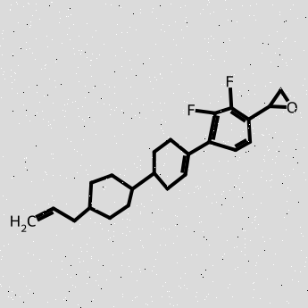 C=CCC1CCC(C2CC=C(c3ccc(C4CO4)c(F)c3F)CC2)CC1